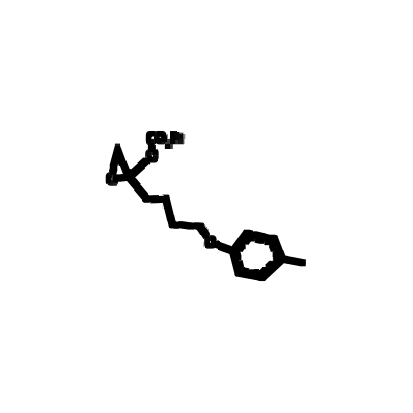 CCOC(=O)OC1(CCCCOc2ccc(C)cc2)CO1